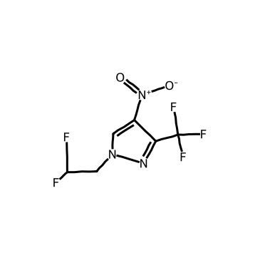 O=[N+]([O-])c1cn(CC(F)F)nc1C(F)(F)F